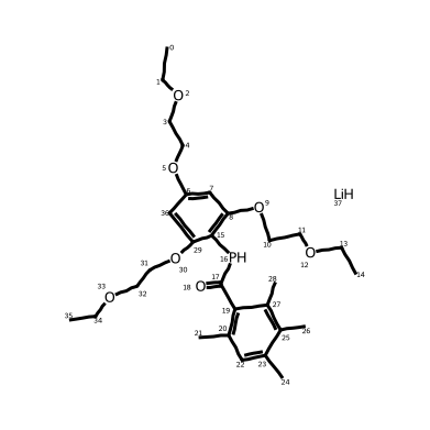 CCOCCOc1cc(OCCOCC)c(PC(=O)c2c(C)cc(C)c(C)c2C)c(OCCOCC)c1.[LiH]